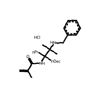 C=C(C)C(=O)NC(CCC)(CCCCCCCCCC)C(C)(C)NCc1ccccc1.Cl